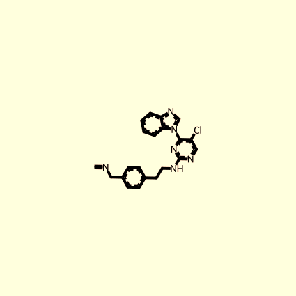 C=NCc1ccc(CCNc2ncc(Cl)c(-n3cnc4ccccc43)n2)cc1